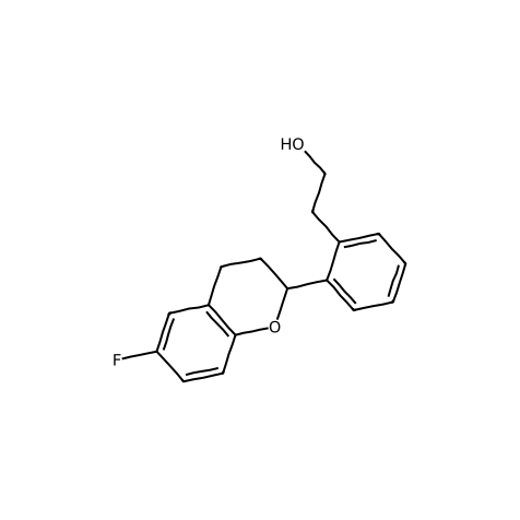 OCCc1ccccc1C1CCc2cc(F)ccc2O1